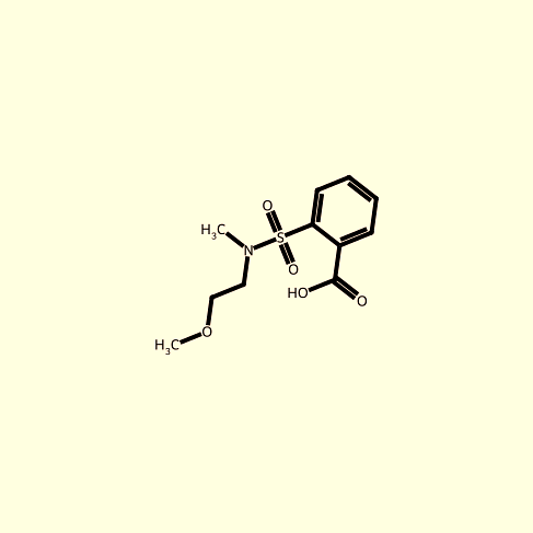 COCCN(C)S(=O)(=O)c1ccccc1C(=O)O